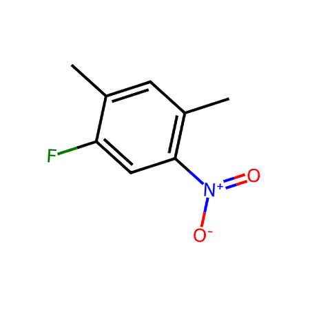 Cc1cc(C)c([N+](=O)[O-])cc1F